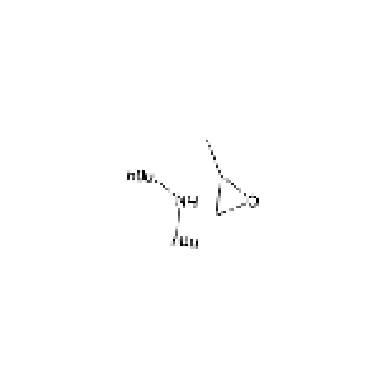 CC1CO1.CCCCNCCCC